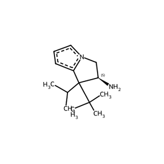 CC(C)C1(C(C)(C)C)c2cccn2C[C@H]1N